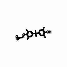 Cc1cc(C(C)(C)c2cc(C)c(OCC3CO3)c(C)c2)cc(C)c1O